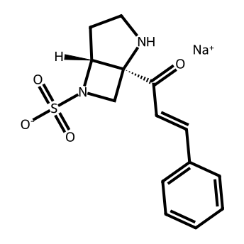 O=C(/C=C/c1ccccc1)[C@]12CN(S(=O)(=O)[O-])[C@@H]1CCN2.[Na+]